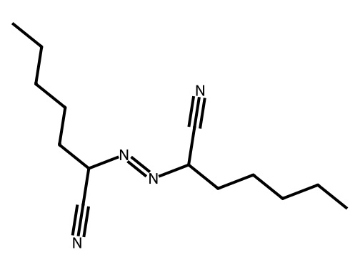 CCCCCC(C#N)N=NC(C#N)CCCCC